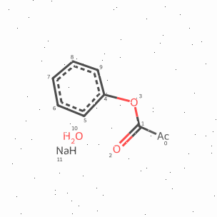 CC(=O)C(=O)Oc1ccccc1.O.[NaH]